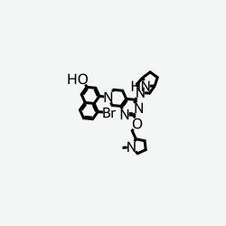 CN1CCCC1COc1nc2c(c(N3CC4CCC(C3)N4)n1)CCN(c1cc(O)cc3cccc(Br)c13)C2